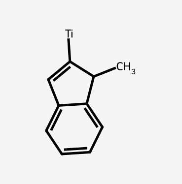 CC1[C]([Ti])=Cc2ccccc21